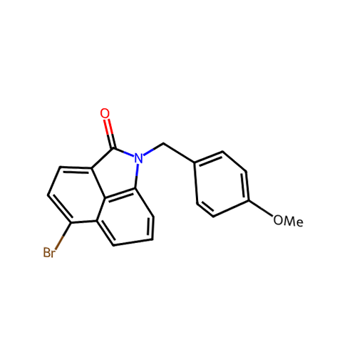 COc1ccc(CN2C(=O)c3ccc(Br)c4cccc2c34)cc1